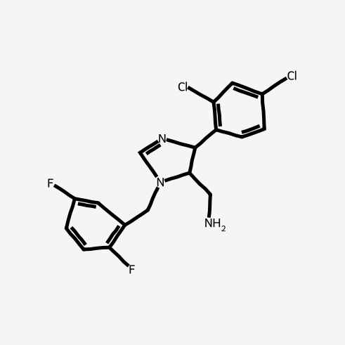 NCC1C(c2ccc(Cl)cc2Cl)N=CN1Cc1cc(F)ccc1F